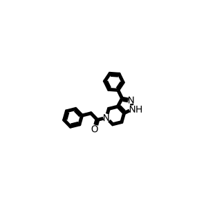 O=C(Cc1ccccc1)N1CCc2[nH]nc(-c3ccccc3)c2C1